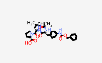 CC(=O)N[C@@H](Cc1ccc(NC(=O)OCc2ccccc2)cc1)C(=O)N[C@@H](CC(C)C)C(=O)N1CCC[C@H]1C(=O)O